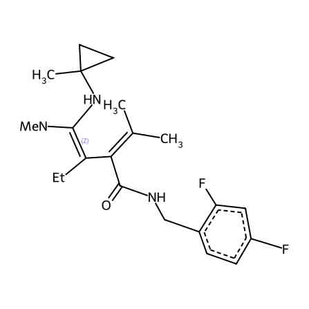 CC/C(C(C(=O)NCc1ccc(F)cc1F)=C(C)C)=C(\NC)NC1(C)CC1